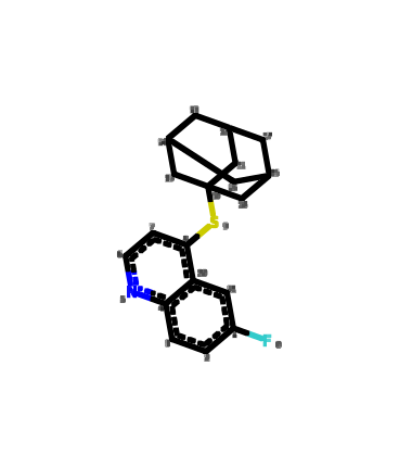 Fc1ccc2nccc(SC34CC5CC(CC(C5)C3)C4)c2c1